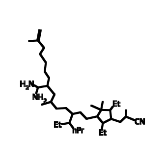 C=C(C)CCCCCC(CC(C)CCC(CCC1C(CC)C(CC(C)C#N)C(CC)C1(C)C)C(CC)CCC)C(N)N